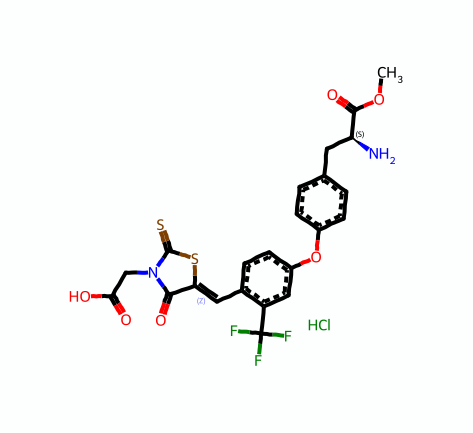 COC(=O)[C@@H](N)Cc1ccc(Oc2ccc(/C=C3\SC(=S)N(CC(=O)O)C3=O)c(C(F)(F)F)c2)cc1.Cl